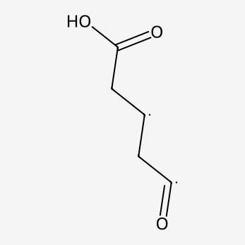 O=[C]C[CH]CC(=O)O